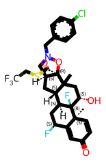 CC12C[C@H](O)[C@@]3(F)[C@@H](C[C@H](F)C4=CC(=O)C=C[C@@]43C)[C@@H]1C[C@H]1CN(Cc3ccc(Cl)cc3)O[C@]12C(=O)SCC(F)(F)F